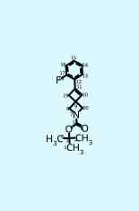 CC(C)(C)OC(=O)N1CC2(C=C(c3ccccc3F)C2)C1